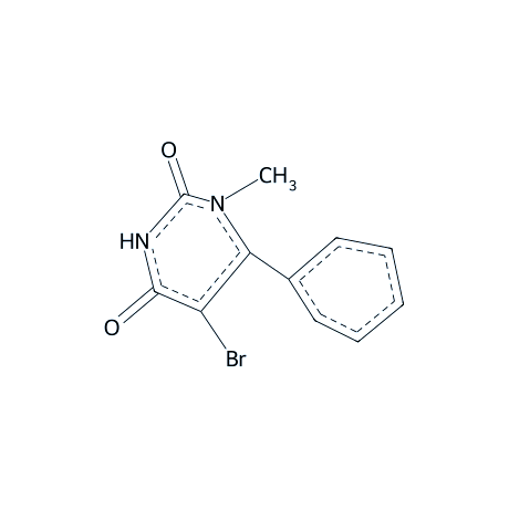 Cn1c(-c2ccccc2)c(Br)c(=O)[nH]c1=O